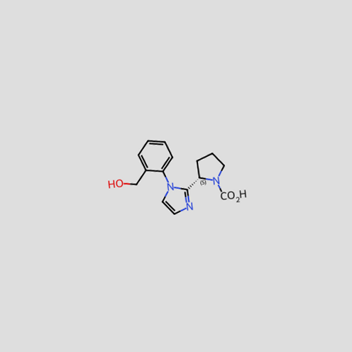 O=C(O)N1CCC[C@H]1c1nccn1-c1ccccc1CO